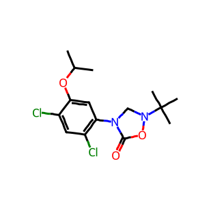 CC(C)Oc1cc(N2CN(C(C)(C)C)OC2=O)c(Cl)cc1Cl